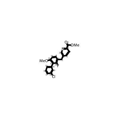 COC(=O)c1ccc(Cc2ccc(OC)c(-c3cccc(Cl)c3)c2F)cn1